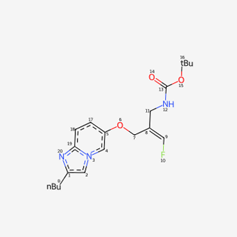 CCCCc1cn2cc(OC/C(=C\F)CNC(=O)OC(C)(C)C)ccc2n1